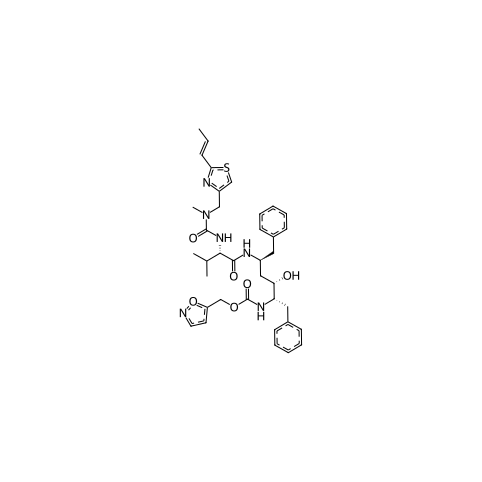 CC=Cc1nc(CN(C)C(=O)N[C@H](C(=O)N[C@@H](Cc2ccccc2)C[C@H](O)[C@H](Cc2ccccc2)NC(=O)OCc2ccno2)C(C)C)cs1